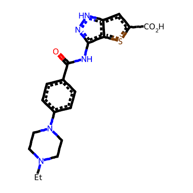 CCN1CCN(c2ccc(C(=O)Nc3n[nH]c4cc(C(=O)O)sc34)cc2)CC1